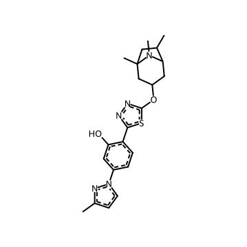 Cc1ccn(-c2ccc(-c3nnc(OC4CC5C(C)CC(C)(C4)N5C)s3)c(O)c2)n1